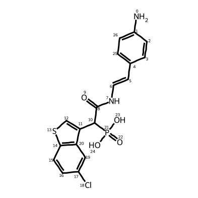 Nc1ccc(C=CNC(=O)C(c2csc3ccc(Cl)cc23)P(=O)(O)O)cc1